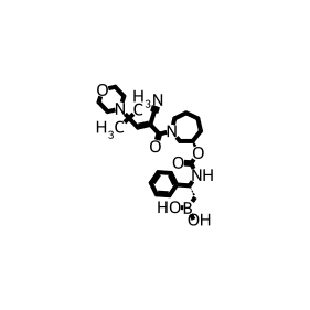 CC(C)(C=C(C#N)C(=O)N1CCCC[C@@H](OC(=O)N[C@H](CB(O)O)c2ccccc2)C1)N1CCOCC1